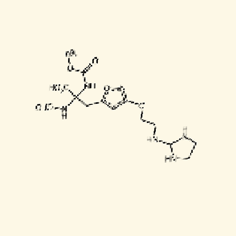 CCCCOC(=O)NC(Cc1cc(OCCNC2NCCN2)no1)(NC=O)C(=O)O